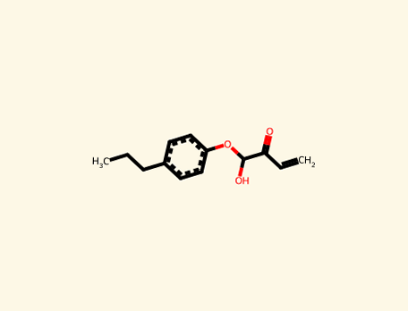 C=CC(=O)C(O)Oc1ccc(CCC)cc1